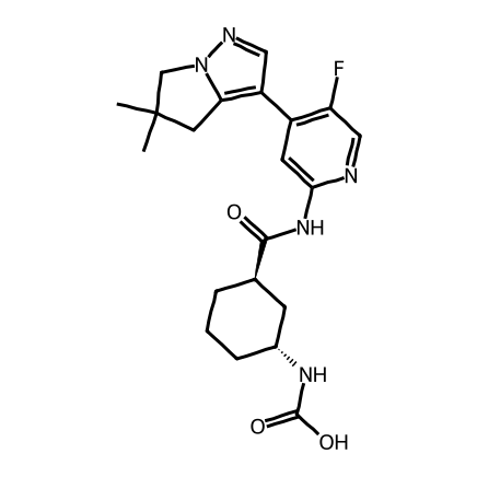 CC1(C)Cc2c(-c3cc(NC(=O)[C@@H]4CCC[C@@H](NC(=O)O)C4)ncc3F)cnn2C1